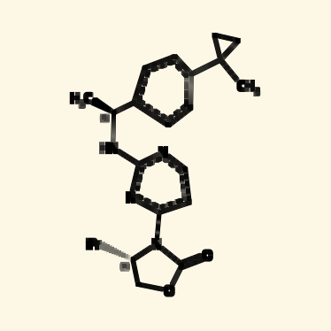 CC(C)[C@H]1COC(=O)N1c1ccnc(N[C@@H](C)c2ccc(C3(C)CC3)cc2)n1